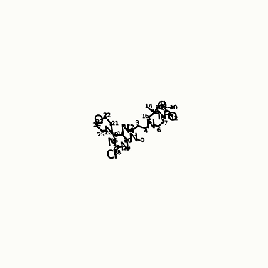 Cn1c(CCN2CCN(S(C)(=O)=O)C(C)(C)C2)nc2c(N3CCOCC3)nc(Cl)nc21